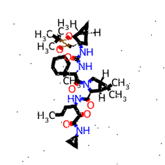 CCCC(NC(=O)[C@@H]1[C@@H]2[C@H](CN1C(=O)[C@@H](NC(=O)N[C@@]1(CS(=O)(=O)C(C)(C)C)C[C@H]3C[C@H]3C1)C1(C)CCCCC1)C2(C)C)C(=O)C(=O)NC1CC1